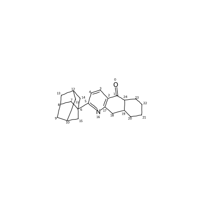 O=C1c2ccc(C34CC5CC(CC(C5)C3)C4)nc2CC2CCCCC12